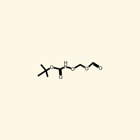 CC(C)(C)OC(=O)NOCOC=O